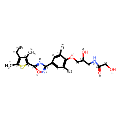 CCc1cc(-c2noc(-c3sc(C)c(CC(C)C)c3C)n2)cc(CC)c1OCC(O)CNC(=O)CO